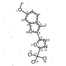 COc1ccc2c(C)c(-c3nnc(C(Cl)(Cl)Cl)o3)oc2c1